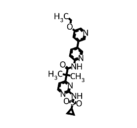 CCOc1cncc(-c2ccc(NC(=O)C(C)(C)c3ccnc(NS(=O)(=O)C4CC4)n3)nc2)c1